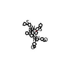 c1ccc2c(c1)sc1ccc(-c3nc(-c4ccc5sc6ccccc6c5c4)nc(-n4c5ccccc5c5ccc6c(c7ccccc7n6-c6nc(-c7ccc8occc8c7)cc(-c7ccc8occc8c7)n6)c54)n3)cc12